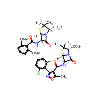 COc1cccc(OC)c1C(=O)N[C@@H]1C(=O)N2[C@@H]1SC(C)(C)[C@@H]2C(=O)O.Cc1onc(-c2c(Cl)cccc2Cl)c1C(=O)N[C@@H]1C(=O)N2[C@@H]1SC(C)(C)[C@@H]2C(=O)O